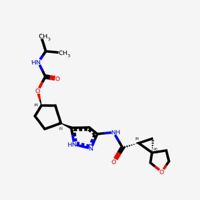 CC(C)NC(=O)O[C@@H]1CC[C@H](c2cc(NC(=O)[C@@H]3C[C@@]34CCOC4)n[nH]2)C1